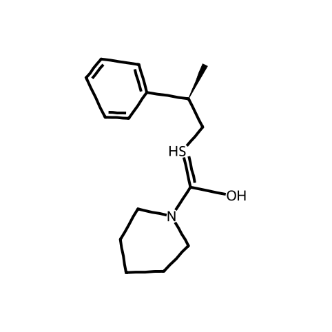 C[C@@H](C[SH]=C(O)N1CCCCC1)c1ccccc1